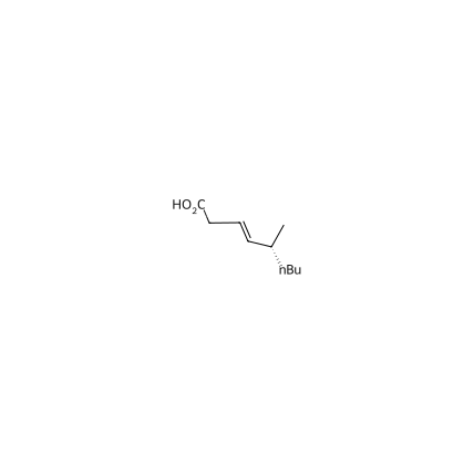 CCCC[C@@H](C)C=CCC(=O)O